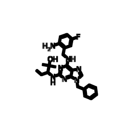 CCC(Nc1nc(NCc2cc(F)ccc2N)c2ncn(Cc3ccccc3)c2n1)C(C)(C)O